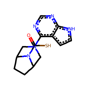 O=C(S)N1C2CCC1CN(c1ncnc3[nH]ccc13)C2